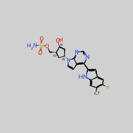 NS(=O)(=O)OC[C@@H]1C[C@@H](n2ccc3c(-c4cc5cc(F)c(Cl)cc5[nH]4)ncnc32)C[C@@H]1O